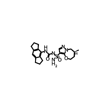 C[C@H]1CCOc2c([S@@](N)(=O)=NC(=O)Nc3c4c(cc5c3CCC5)CCC4)cnn2C1